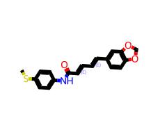 CSc1ccc(NC(=O)/C=C/C=C/c2ccc3c(c2)OCO3)cc1